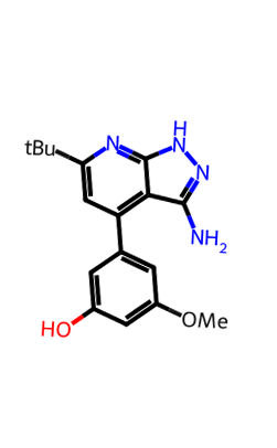 COc1cc(O)cc(-c2cc(C(C)(C)C)nc3[nH]nc(N)c23)c1